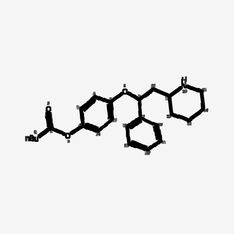 CCCCC(=O)Oc1ccc(OC(CC2CCCCN2)c2ccccc2)cc1